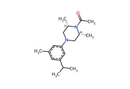 CC(=O)N1[C@H](C)CN(c2cc(C)cc(C(C)C)c2)C[C@@H]1C